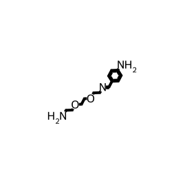 NCCOCCOCC/N=C/c1ccc(N)cc1